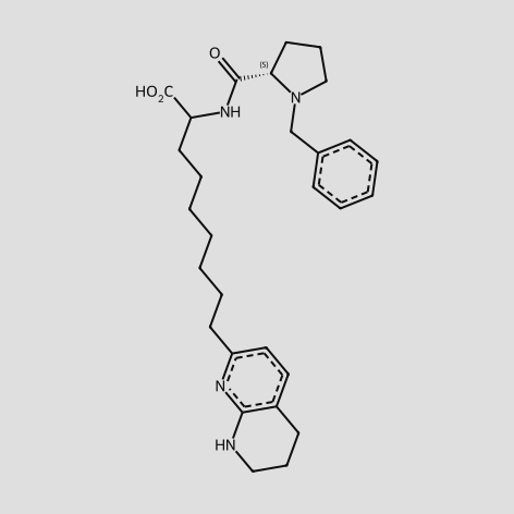 O=C(O)C(CCCCCCCc1ccc2c(n1)NCCC2)NC(=O)[C@@H]1CCCN1Cc1ccccc1